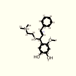 COc1cc(O)c(O)cc1C(/C=C/c1ccccc1)SCCN(C)C